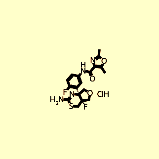 Cc1nc(C(=O)Nc2ccc(F)c([C@]34COC[C@@]3(F)CSC(N)=N4)c2)c(C)o1.Cl